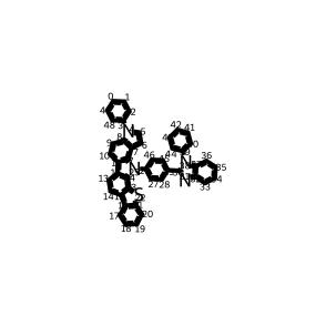 c1ccc(-n2ccc3c2ccc2c4ccc5c6ccccc6sc5c4n(-c4ccc(-c5nc6ccccc6n5-c5ccccc5)cc4)c23)cc1